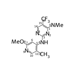 CNc1nc(Nc2cc(OC)ncc2C)ncc1C(F)(F)F